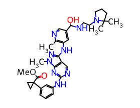 COC(=O)C1(c2cccc(Nc3ncc4c(Nc5cc(C(O)NCCN6CCCC6(C)C)cnc5C)nn(C)c4n3)c2)CC1